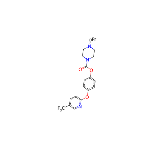 CCCN1CCN(C(=O)Oc2ccc(Oc3ccc(C(F)(F)F)cn3)cc2)CC1